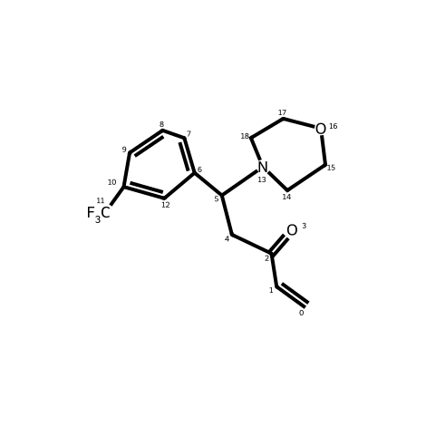 C=CC(=O)CC(c1cccc(C(F)(F)F)c1)N1CCOCC1